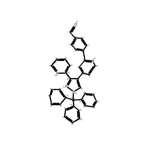 O=Cc1ccc(-c2cc(-c3cn(C(c4ccccc4)(c4ccccc4)c4ccccc4)nc3-c3ccccn3)ccn2)cc1